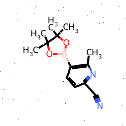 Cc1nc(C#N)ccc1B1OC(C)(C)C(C)(C)O1